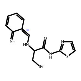 CC(C)CC(N/C=C1/C=CC=CC1=N)C(=O)Nc1nccs1